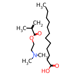 C=C(C)C(=O)OCCN(C)C.CCCCCCCCCCCC(=O)O